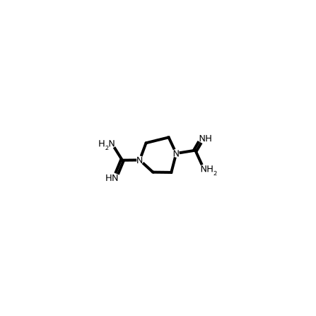 N=C(N)N1CCN(C(=N)N)CC1